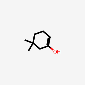 CC1(C)CCC=C(O)C1